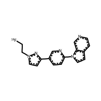 [18F]CCn1ccc(-c2ccc(-n3ccc4ccncc43)nc2)n1